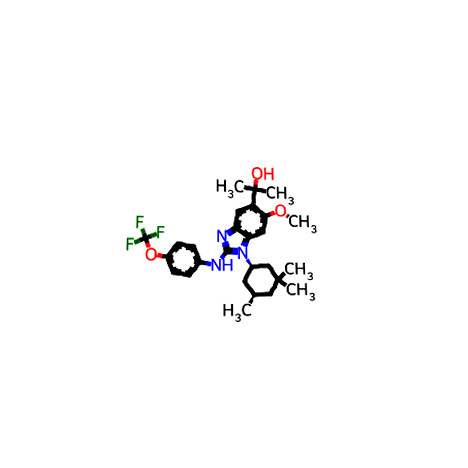 COc1cc2c(cc1C(C)(C)O)nc(Nc1ccc(OC(F)(F)F)cc1)n2[C@@H]1C[C@H](C)CC(C)(C)C1